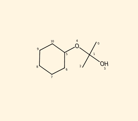 CC(C)(O)OC1CCCCC1